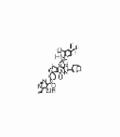 CCc1ncnc(C(=O)N2CCC3(CC2)O[C@H](C)c2c3c(=O)n3nc(C4=CCOCC4)nc3n2CC(=O)Nc2ccc(C(F)(F)F)cc2Cl)c1O